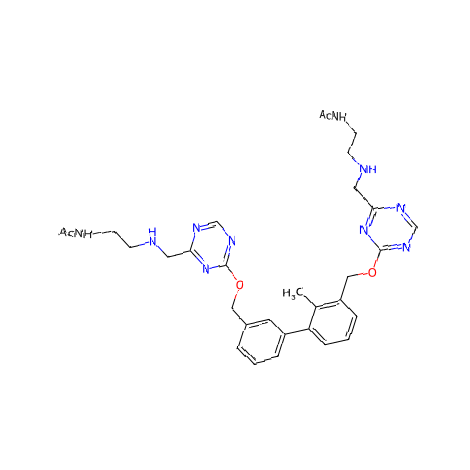 CC(=O)NCCNCc1ncnc(OCc2cccc(-c3cccc(COc4ncnc(CNCCNC(C)=O)n4)c3C)c2)n1